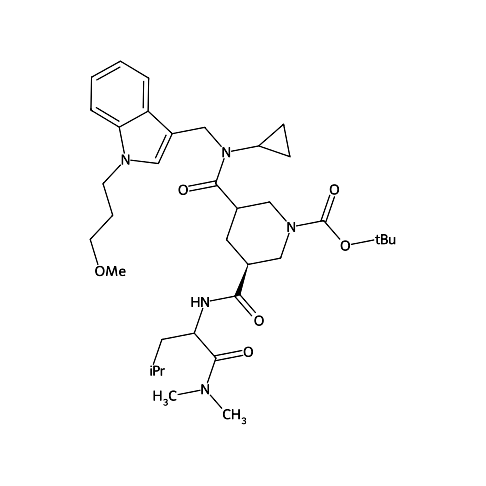 COCCCn1cc(CN(C(=O)C2C[C@H](C(=O)NC(CC(C)C)C(=O)N(C)C)CN(C(=O)OC(C)(C)C)C2)C2CC2)c2ccccc21